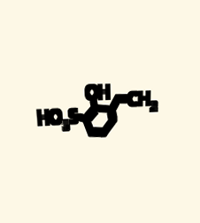 C=Cc1cccc(S(=O)(=O)O)c1O